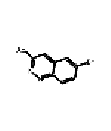 CC(=O)c1cc2cc(Br)ccc2nn1